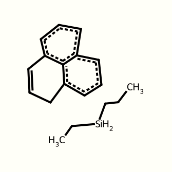 C1=Cc2cccc3cccc(c23)C1.CCC[SiH2]CC